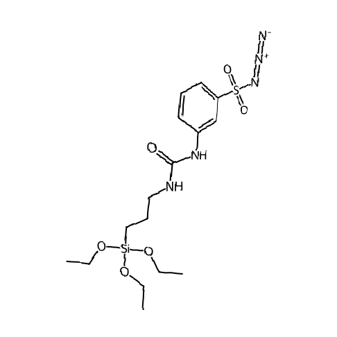 CCO[Si](CCCNC(=O)Nc1cccc(S(=O)(=O)N=[N+]=[N-])c1)(OCC)OCC